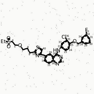 CCS(=O)(=O)CCOCCCc1nc(-c2ccc3ncnc(Nc4ccc(OCc5cccc(F)c5)c(Cl)c4)c3c2)cs1